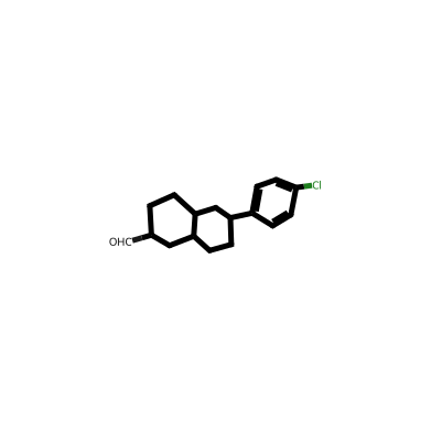 O=CC1CCC2CC(c3ccc(Cl)cc3)CCC2C1